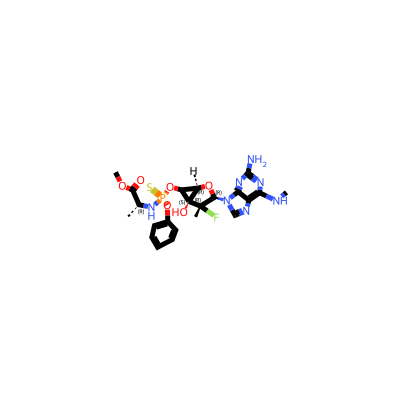 CNc1nc(N)nc2c1ncn2[C@@H]1O[C@@H]2C(OP(=S)(N[C@H](C)C(=O)OC)Oc3ccccc3)[C@]2(O)[C@@]1(C)F